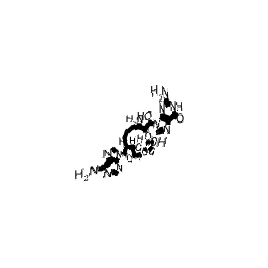 Nc1nc2c(ncn2[C@H](O)[C@@H]2OP(=O)(O)OC[C@H]3O[C@@H](n4cnc5c(N)ncnc54)[C@H](CCCC2N)[C@@H]3O)c(=O)[nH]1